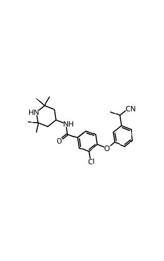 CC(C#N)c1cccc(Oc2ccc(C(=O)NC3CC(C)(C)NC(C)(C)C3)cc2Cl)c1